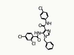 O=C(Nc1c(C(=O)Nc2ccc(Cl)cc2)ncn1Cc1ccccc1)c1ccc(Cl)cc1Cl